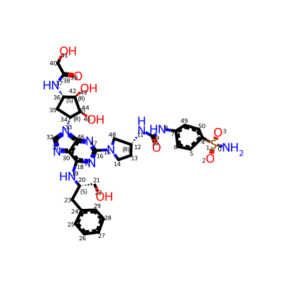 NS(=O)(=O)c1ccc(NC(=O)N[C@@H]2CCN(c3nc(N[C@H](CO)Cc4ccccc4)c4ncn([C@@H]5C[C@H](NC(=O)CO)[C@@H](O)[C@H]5O)c4n3)C2)cc1